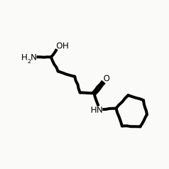 NC(O)CCCC(=O)NC1CCCCC1